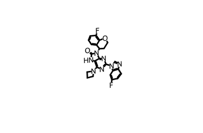 O=c1[nH]c2c(N3CCC3)nc(-n3cnc4ccc(F)cc43)nc2n1C1CCOc2c(F)cccc21